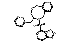 O=S(=O)(c1cccc2nonc12)N1Cc2ccccc2COCC1Cc1ccccc1